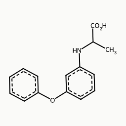 CC(Nc1cccc(Oc2ccccc2)c1)C(=O)O